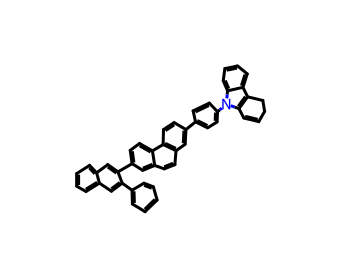 C1=Cc2c(c3ccccc3n2-c2ccc(-c3ccc4c(ccc5cc(-c6cc7ccccc7cc6-c6ccccc6)ccc54)c3)cc2)CC1